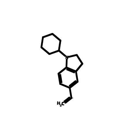 C=[C]c1ccc2c(c1)CCN2C1CCCCC1